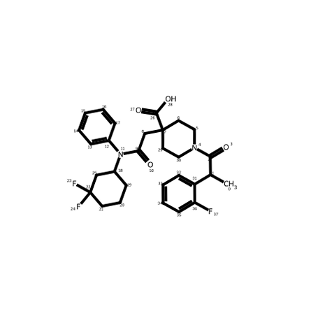 CC(C(=O)N1CCC(CC(=O)N(c2ccccc2)C2CCCC(F)(F)C2)(C(=O)O)CC1)c1ccccc1F